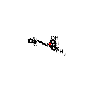 COc1ccc2c3c1O[C@H]1C[C@@H](O)C=C[C@@]31CCN(CCCCCCn1sc3ccccc3c1=O)C2